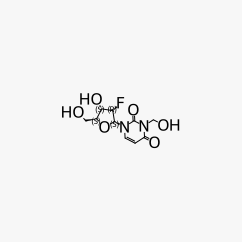 O=c1ccn([C@H]2O[C@@H](CO)[C@H](O)[C@H]2F)c(=O)n1CO